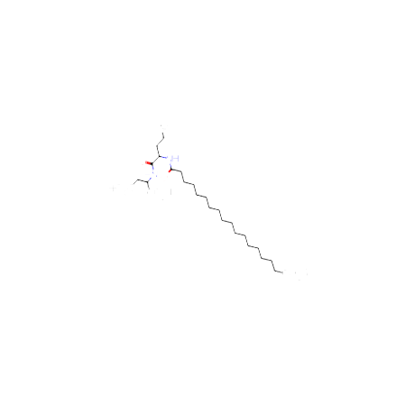 CC(=O)CCC(NC(=O)CCCCCCCCCCCCCCCCC(=O)O)C(=O)NC(CC(=O)O)C(=O)O